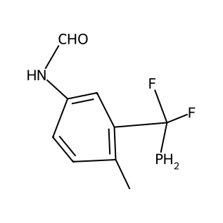 Cc1ccc(NC=O)cc1C(F)(F)P